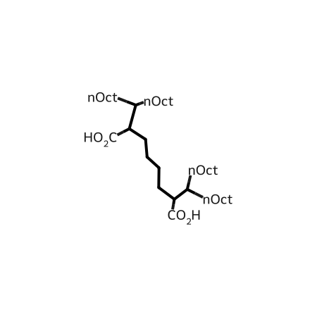 CCCCCCCCC(CCCCCCCC)C(CCCCC(C(=O)O)C(CCCCCCCC)CCCCCCCC)C(=O)O